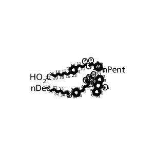 CCCCCC12CCC(C(=O)OC(=O)CCc3ccc(CCCCCCC(=O)O)cc3)(CC1)CC2.CCCCCCCCCCCCCCCCOc1ccc(CCCC(=O)OS(=O)(=O)c2cccc3c2C(=O)c2ccccc2C3=O)cc1